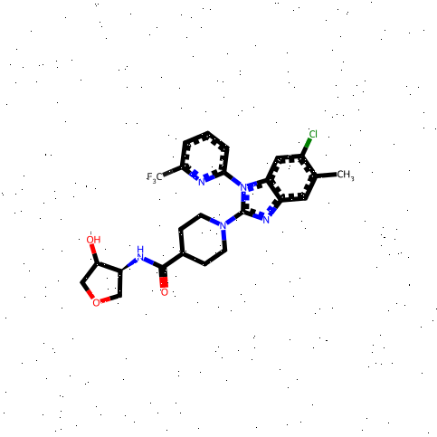 Cc1cc2nc(N3CCC(C(=O)N[C@H]4COCC4O)CC3)n(-c3cccc(C(F)(F)F)n3)c2cc1Cl